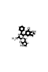 NC1=NC(c2ccccc2)=C(c2cc(Cl)c3[nH]ncc3c2)N(CC2CCNC2=O)C1